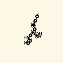 COc1cccc(OI)c1CC(=O)Nc1ccc(C(=O)N(Cc2ccc(-c3nc(-c4ccc(-c5ccc(C)cc5)cc4)no3)cc2)CC(O)O)cc1